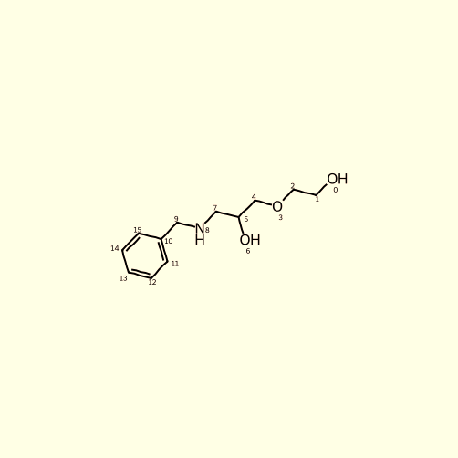 OCCOCC(O)CNCc1ccccc1